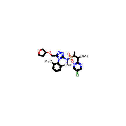 COc1cccc(OC)c1-n1c(COC2CCOC2)nnc1NS(=O)(=O)C(C)C(OC)c1ncc(Cl)cn1